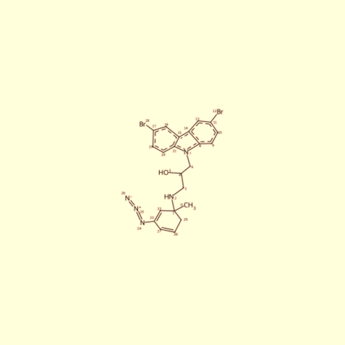 CC1(NCC(O)Cn2c3ccc(Br)cc3c3cc(Br)ccc32)C=C(N=[N+]=[N-])C=CC1